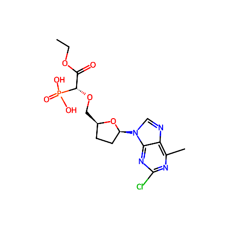 CCOC(=O)[C@H](OC[C@@H]1CC[C@H](n2cnc3c(C)nc(Cl)nc32)O1)P(=O)(O)O